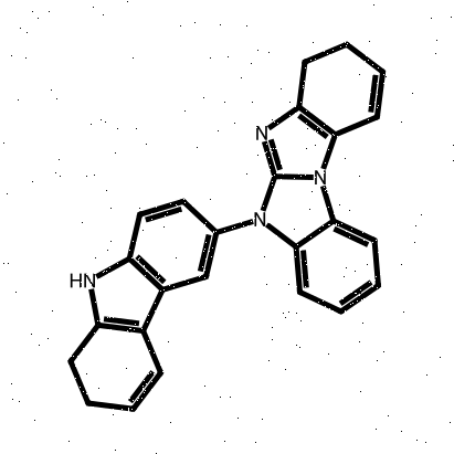 C1=Cc2c(nc3n(-c4ccc5[nH]c6c(c5c4)C=CCC6)c4ccccc4n23)CC1